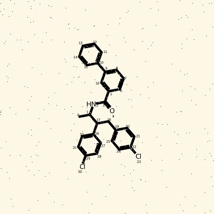 CC(NC(=O)c1cccc(-c2ccccc2)c1)C(Cc1ccc(Cl)cc1)c1ccc(Cl)cc1